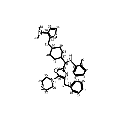 Cc1ccccc1NC(c1nc(Cc2ccccc2)c(N2CCSCC2)o1)C1CCC(Cc2sccc2N(C)C)CC1